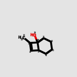 CC1=CC2CCCCC12O